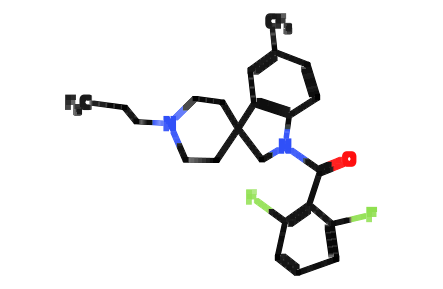 O=C(c1c(F)cccc1F)N1CC2(CCN(CCC(F)(F)F)CC2)c2cc(C(F)(F)F)ccc21